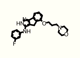 Fc1cccc(Nc2[nH]nc3c2Cc2c(OCCCN4CCOCC4)cccc2-3)c1